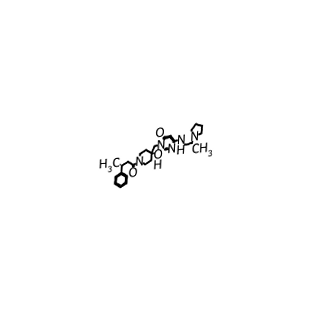 C[C@H](CC(=O)N1CCC(O)(Cn2cnc(NC[C@H](C)N3CCCC3)cc2=O)CC1)c1ccccc1